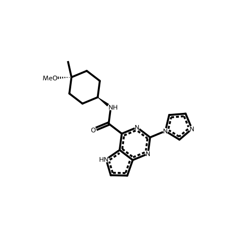 CO[C@]1(C)CC[C@@H](NC(=O)c2nc(-n3ccnc3)nc3cc[nH]c23)CC1